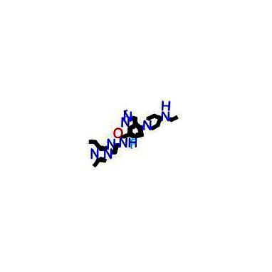 CCNC1CCN(c2cc(F)c(C(=O)Nc3cn4cc(C)nc(CC)c4n3)c3nn(C)cc23)CC1